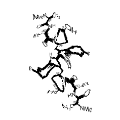 CC[C@H](NC(=O)[C@H](C)NC)C(=O)N1C[C@@H](O)C[C@H]1Cc1c(C2Nc3cc(F)ccc3C2C[C@@H]2C[C@H](O)CN2C(=O)[C@H](CC)NC(=O)[C@H](C)NC)[nH]c2cc(F)ccc12